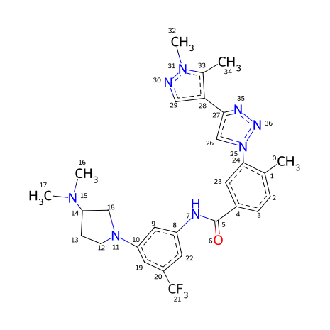 Cc1ccc(C(=O)Nc2cc(N3CCC(N(C)C)C3)cc(C(F)(F)F)c2)cc1-n1cc(-c2cnn(C)c2C)nn1